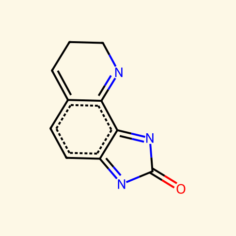 O=C1N=c2ccc3c(c2=N1)=NCCC=3